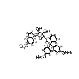 COc1ccc(C(OC[C@H]2O[C@@H](n3ccc4cc([N+](=O)[O-])ccc43)C(O)[C@H]2O)(c2ccccc2)c2ccc(OC)cc2)cc1